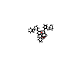 C1=Cc2oc3c(c2CC1)CCC=C3c1ccc2c(c1)Oc1ccccc1C21c2ccccc2Oc2cc(-c3cccc4c3OC3C=CCCC43)ccc21